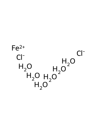 O.O.O.O.O.O.[Cl-].[Cl-].[Fe+2]